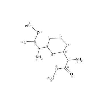 CCCCOC(=O)C(N)C1CCCC(C(N)C(=O)OCCCC)C1